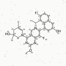 CCc1c(F)ccc2cc(O)cc(-c3ncc4c(N5C=C(C)CC(C)(O)C5)nc(OC)nc4c3F)c12